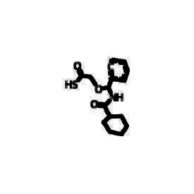 O=C(S)COC(NC(=O)C1CCCCC1)c1ccccc1